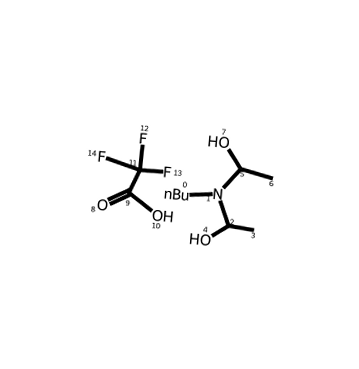 CCCCN(C(C)O)C(C)O.O=C(O)C(F)(F)F